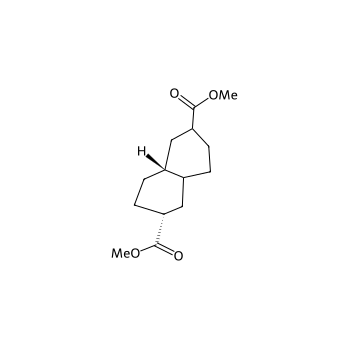 COC(=O)C1CCC2C[C@H](C(=O)OC)CC[C@@H]2C1